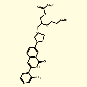 COCCOC(COC(=O)C(=O)O)C[C@H]1CN(c2ccc3cc(-c4ccccc4C(F)(F)F)[nH]c(=O)c3c2)CO1